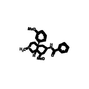 COc1cccc([C@@]23CCN(C)C[C@H]2C(OC)C[C@H](NC(=O)c2ccccc2)C3)c1